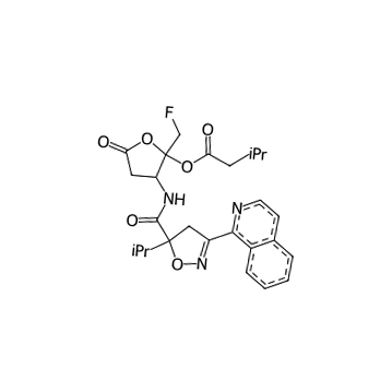 CC(C)CC(=O)OC1(CF)OC(=O)CC1NC(=O)C1(C(C)C)CC(c2nccc3ccccc23)=NO1